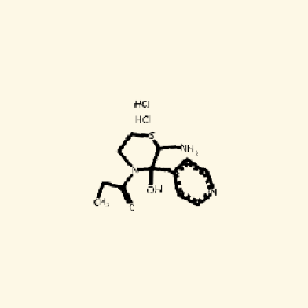 CCC(=O)N1CCSC(N)C1(O)c1ccncc1.Cl.Cl